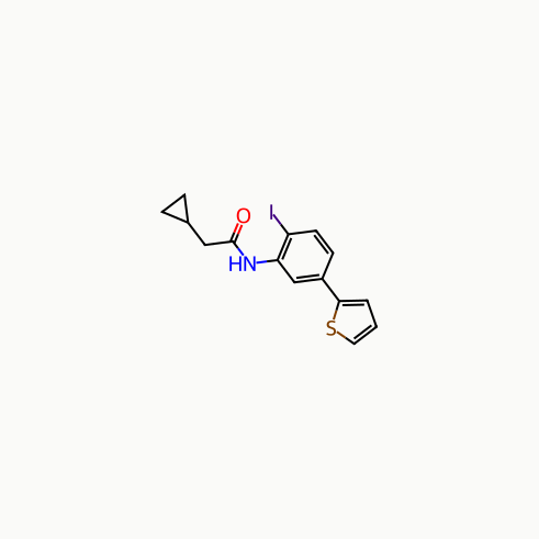 O=C(CC1CC1)Nc1cc(-c2cccs2)ccc1I